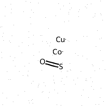 O=S.[Co].[Cu]